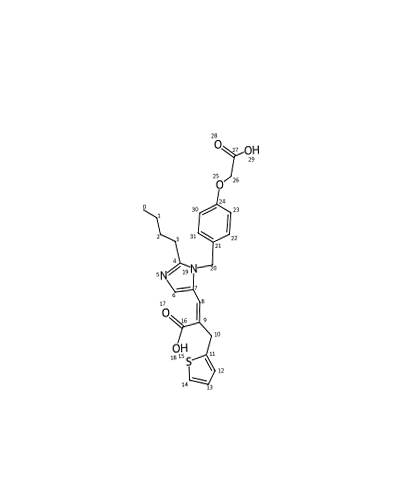 CCCCc1ncc(C=C(Cc2cccs2)C(=O)O)n1Cc1ccc(OCC(=O)O)cc1